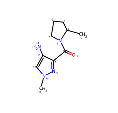 CC1CCCN1C(=O)c1nn(C)cc1N